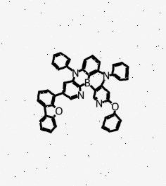 c1ccc(Oc2cc3c(cn2)B2c4ncc(-c5cccc6c5oc5ccccc56)cc4N(c4ccccc4)c4cccc(c42)N3c2ccccc2)cc1